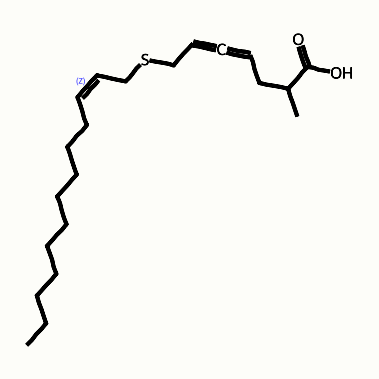 CCCCCCCCCC/C=C\CSCC=C=CCC(C)C(=O)O